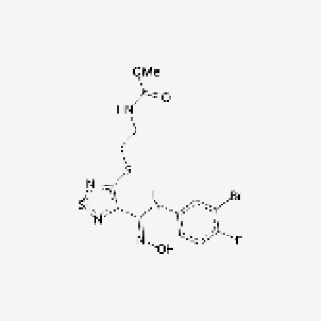 COC(=O)NCCSc1nsnc1/C(=N/O)Nc1ccc(F)c(Br)c1